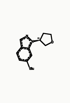 CC(C)(C)c1ccc2cnn([C@H]3CCOC3)c2c1